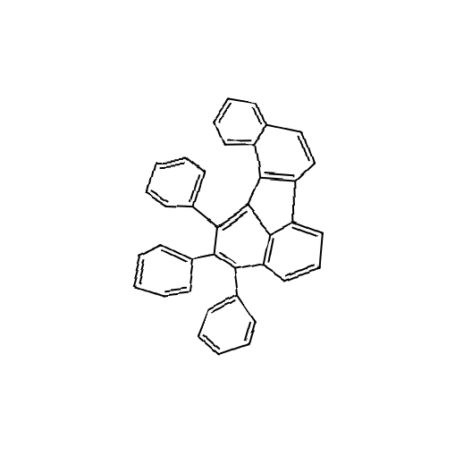 c1ccc(-c2c(-c3ccccc3)c3c4c(cccc4c2-c2ccccc2)-c2ccc4ccccc4c2-3)cc1